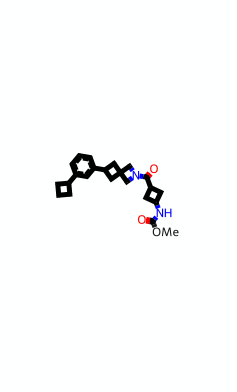 COC(=O)NC1CC(C(=O)N2CC3(CC(c4cccc(C5CCC5)c4)C3)C2)C1